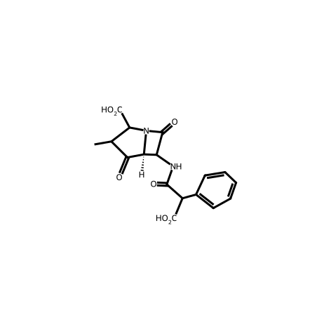 CC1C(=O)[C@@H]2C(NC(=O)C(C(=O)O)c3ccccc3)C(=O)N2C1C(=O)O